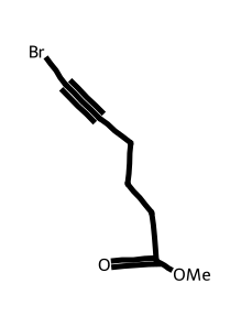 COC(=O)CCCC#CBr